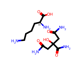 NC(=O)CC(O)(CC(N)=O)C(N)=O.NCCCC[C@H](N)C(=O)O